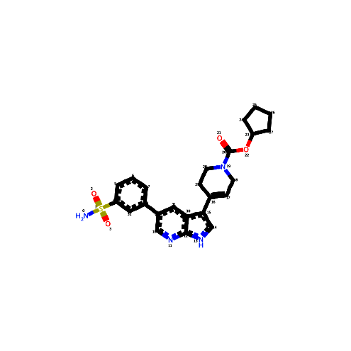 NS(=O)(=O)c1cccc(-c2cnc3[nH]cc(C4=CCN(C(=O)OC5CCCC5)CC4)c3c2)c1